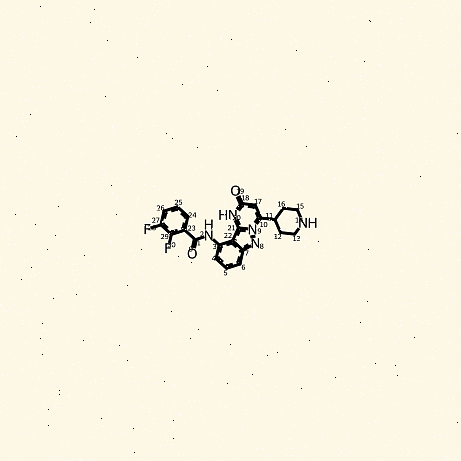 O=C(Nc1cccc2nn3c(C4CCNCC4)cc(=O)[nH]c3c12)c1cccc(F)c1F